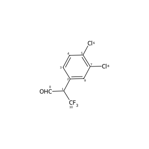 O=CC(c1ccc(Cl)c(Cl)c1)C(F)(F)F